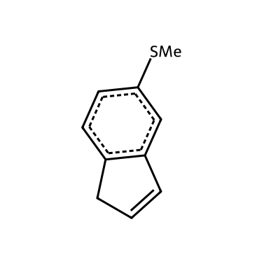 CSc1ccc2c(c1)C=CC2